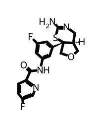 NC1=NC[C@H]2COC[C@]2(c2cc(F)cc(NC(=O)c3ccc(F)cn3)c2)S1